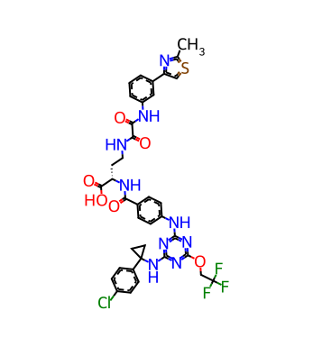 Cc1nc(-c2cccc(NC(=O)C(=O)NCC[C@H](NC(=O)c3ccc(Nc4nc(NC5(c6ccc(Cl)cc6)CC5)nc(OCC(F)(F)F)n4)cc3)C(=O)O)c2)cs1